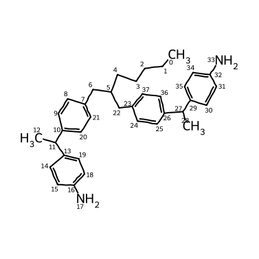 CCCCCC(Cc1ccc(C(C)c2ccc(N)cc2)cc1)Cc1ccc(C(C)c2ccc(N)cc2)cc1